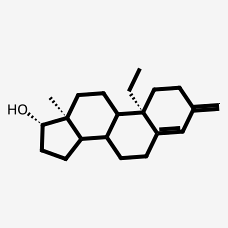 C=C1C=C2CCC3C(CC[C@@]4(C)C3CC[C@@H]4O)[C@@]2(CC)CC1